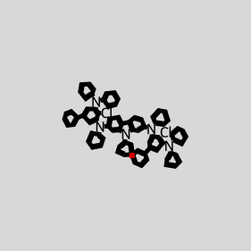 Clc1c(N(c2ccccc2)c2ccccc2)cc(-c2ccccc2)cc1N(c1ccccc1)c1ccc2c3ccc(N(c4ccccc4)c4cc(-c5ccccc5)cc(N(c5ccccc5)c5ccccc5)c4Cl)cc3n(-c3ccccc3)c2c1